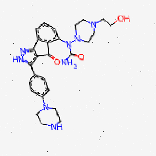 NC(=O)N(c1cccc2c1C(=O)c1c-2n[nH]c1-c1ccc(N2CCNCC2)cc1)N1CCN(CCO)CC1